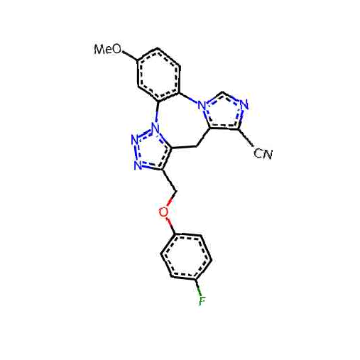 COc1ccc2c(c1)-n1nnc(COc3ccc(F)cc3)c1Cc1c(C#N)ncn1-2